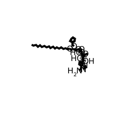 CCCCCCCCCCCCCCCCCCOC[C@H](COP(=O)(O)OC[C@@](C)(OC)[C@@H](O)[C@@H](O)c1ccc2c(N)ncnn12)OCc1ccccc1